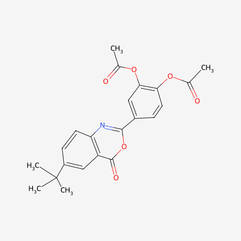 CC(=O)Oc1ccc(-c2nc3ccc(C(C)(C)C)cc3c(=O)o2)cc1OC(C)=O